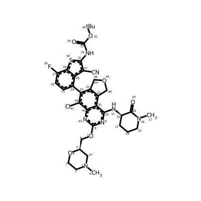 CN1CCO[C@@H](COc2nc(N[C@@H]3CCCN(C)C3=O)c3c4c(c(-c5ccc(F)c6sc(NC(=O)OC(C)(C)C)c(C#N)c56)c(Cl)c3n2)COC4)C1